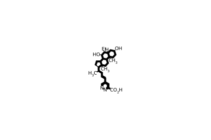 CC[C@H]1[C@@H](O)C2C(CC[C@@]3(C)C2CC[C@@H]3[C@H](C)C/C=C/c2cnnc(C(=O)O)c2)C2(C)CC[C@@H](O)C[C@@H]12